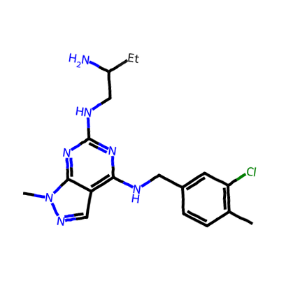 CCC(N)CNc1nc(NCc2ccc(C)c(Cl)c2)c2cnn(C)c2n1